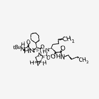 C=CCCNC(=O)C(=O)C(CCC=C)NC(=O)[C@@H]1[C@H]2C[C@H]2CN1C(=O)[C@@H](NC(=O)NC(C)(C)C)C1CCCCC1